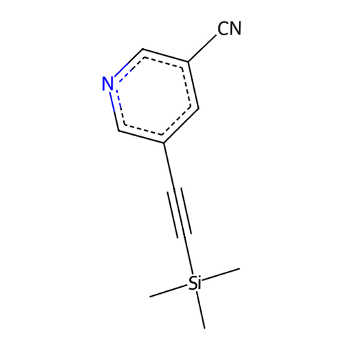 C[Si](C)(C)C#Cc1cncc(C#N)c1